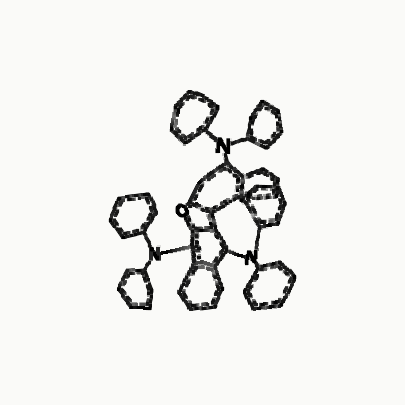 c1ccc(N(c2ccccc2)c2cc3oc4c(N(c5ccccc5)c5ccccc5)c5ccccc5c(N(c5ccccc5)c5ccccc5)c4c3c3ccccc23)cc1